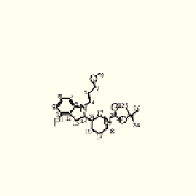 COCCCN1c2cccc(F)c2CC1C1CCCN(C(=O)OC(C)(C)C)C1